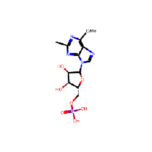 COc1nc(C)nc2c1ncn2C1O[C@H](COP(=O)(O)O)[C@@H](O)[C@H]1O